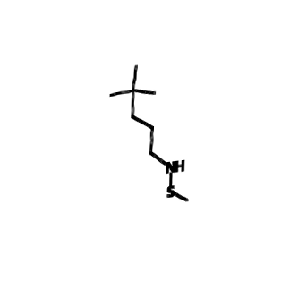 CSNCCCC(C)(C)C